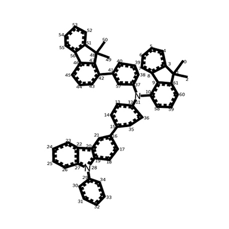 CC1(C)c2ccccc2-c2c(N(c3ccc(-c4ccc5c(c4)c4ccccc4n5-c4ccccc4)cc3)c3cccc(-c4cccc5c4C(C)(C)c4ccccc4-5)c3)cccc21